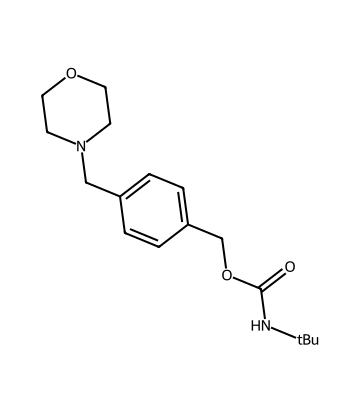 CC(C)(C)NC(=O)OCc1ccc(CN2CCOCC2)cc1